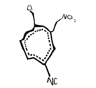 [C-]#[N+]c1ccc(Cl)c([N+](=O)[O-])c1